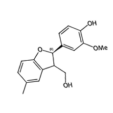 COc1cc([C@@H]2Oc3ccc(C)cc3C2CO)ccc1O